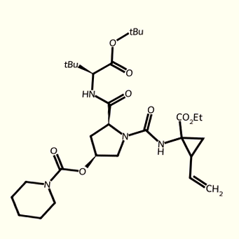 C=CC1CC1(NC(=O)N1C[C@@H](OC(=O)N2CCCCC2)C[C@H]1C(=O)N[C@H](C(=O)OC(C)(C)C)C(C)(C)C)C(=O)OCC